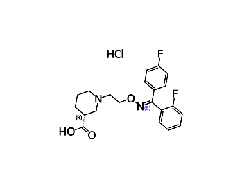 Cl.O=C(O)[C@@H]1CCCN(CCO/N=C(\c2ccc(F)cc2)c2ccccc2F)C1